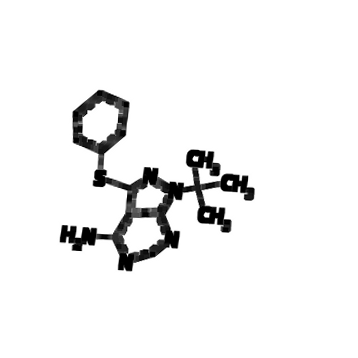 CC(C)(C)n1nc(Sc2ccccc2)c2c(N)ncnc21